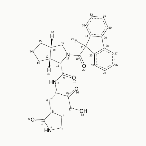 O=C1NCC[C@H]1C[C@H](NC(=O)[C@@H]1[C@@H]2CCC[C@@H]2CN1C(=O)C1(F)c2ccccc2-c2ccccc21)C(=O)CO